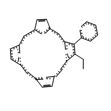 CCc1c(-c2ccccn2)c2cc3nc(cc4ccc(cc5nc(cc1[nH]2)C=C5)[nH]4)C=C3